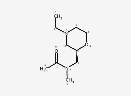 CCN1CCO[C@@H](CN(C)C(C)=O)C1